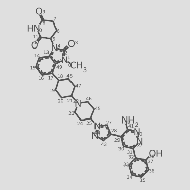 Cn1c(=O)n(C2CCC(=O)NC2=O)c2cccc(C3CCC(N4CCC(n5cc(-c6cc(-c7ccccc7O)nnc6N)cn5)CC4)CC3)c21